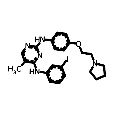 Cc1cnc(Nc2ccc(OCCN3CCCC3)cc2)nc1Nc1cccc(I)c1